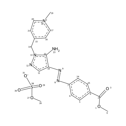 COC(=O)c1ccc(N=Nc2cnn(Cc3cc[n+](C)cc3)c2N)cc1.COS(=O)(=O)[O-]